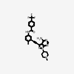 Cc1ccc(NC(=O)c2ccc(C(F)(F)F)cc2)cc1C#Cc1nn(C2CCN(C)CC2)c2ncnc(N)c12